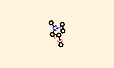 c1ccc(-c2nc(-c3cccc4oc5c(-c6nc7ccccc7o6)cccc5c34)nc(-n3c4ccccc4c4ccccc43)n2)cc1